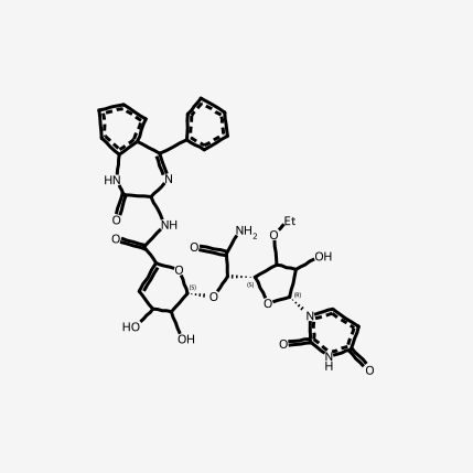 CCOC1C(O)[C@H](n2ccc(=O)[nH]c2=O)O[C@@H]1C(O[C@H]1OC(C(=O)NC2N=C(c3ccccc3)c3ccccc3NC2=O)=CC(O)C1O)C(N)=O